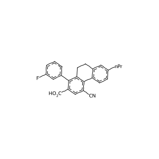 CCCc1ccc2c(c1)CCc1c-2c(C#N)cc(C(=O)O)c1-c1cccc(F)c1